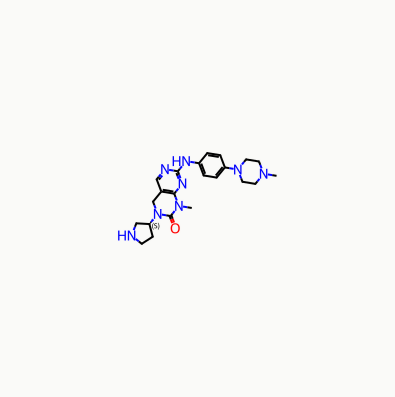 CN1CCN(c2ccc(Nc3ncc4c(n3)N(C)C(=O)N([C@H]3CCNC3)C4)cc2)CC1